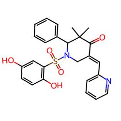 CC1(C)C(=O)C(=Cc2ccccn2)CN(S(=O)(=O)c2cc(O)ccc2O)C1c1ccccc1